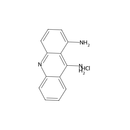 Cl.Nc1cccc2nc3ccccc3c(N)c12